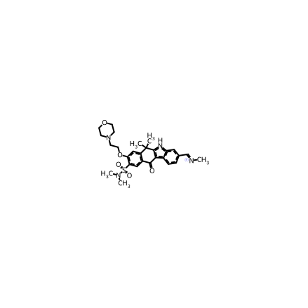 C/N=C/c1ccc2c3c([nH]c2c1)C(C)(C)c1cc(OCCN2CCOCC2)c(S(=O)(=O)N(C)C)cc1C3=O